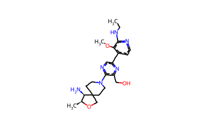 CCNc1nccc(-c2cnc(N3CCC4(CC3)CO[C@@H](C)[C@H]4N)c(CO)n2)c1OC